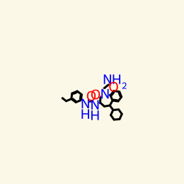 CCc1cccc(NC(=O)NC2CC(C3CCCCC3)c3ccccc3N(CC(N)=O)C2=O)c1